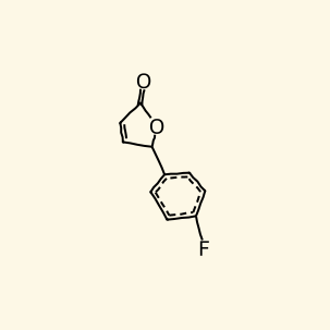 O=C1C=CC(c2ccc(F)cc2)O1